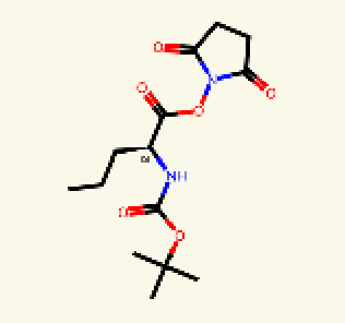 CCC[C@H](NC(=O)OC(C)(C)C)C(=O)ON1C(=O)CCC1=O